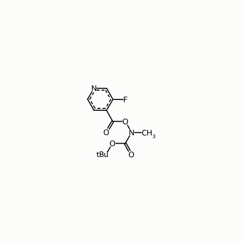 CN(OC(=O)c1ccncc1F)C(=O)OC(C)(C)C